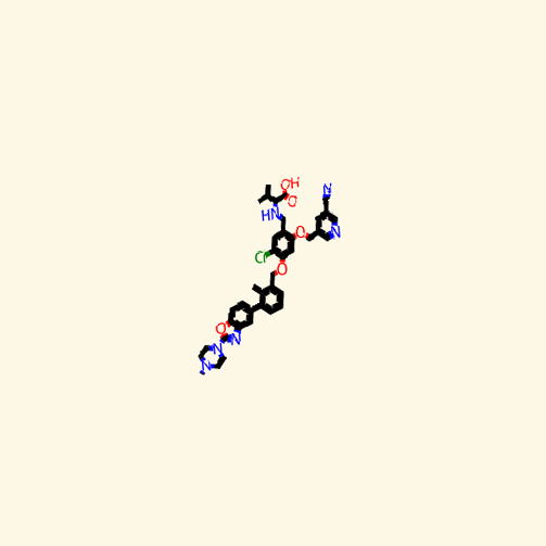 Cc1c(COc2cc(OCc3cncc(C#N)c3)c(CNC(C(=O)O)C(C)C)cc2Cl)cccc1-c1ccc2oc(N3CCN(C)CC3)nc2c1